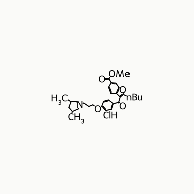 CCCCc1oc2cc(C(=O)OC)ccc2c1C(=O)c1ccc(OCCCN2CC(C)CC(C)C2)cc1.Cl